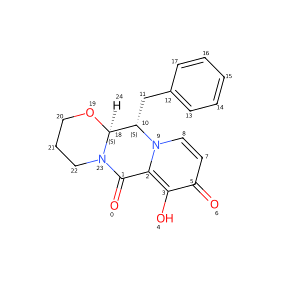 O=C1c2c(O)c(=O)ccn2[C@@H](Cc2ccccc2)[C@@H]2OCCCN12